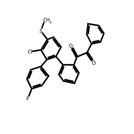 CSc1ccc(-c2ccccc2C(=O)C(=O)c2ccccc2)c(-c2ccc(F)cc2)c1Cl